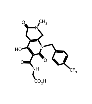 CN1Cc2c(c(O)c(C(=O)NCC(=O)O)c(=O)n2Cc2ccc(C(F)(F)F)cc2)CC1=O